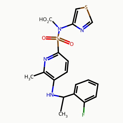 Cc1nc(S(=O)(=O)N(C(=O)O)c2cscn2)ccc1NC(C)c1ccccc1F